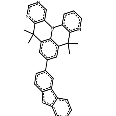 CC1(C)c2cc(-c3ccc4sc5ccccc5c4c3)cc3c2N(c2cccnc21)c1cncnc1C3(C)C